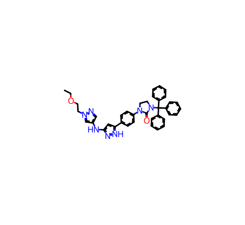 CCOCCn1cc(Nc2cc(-c3ccc(N4CCN(C(c5ccccc5)(c5ccccc5)c5ccccc5)C4=O)cc3)[nH]n2)cn1